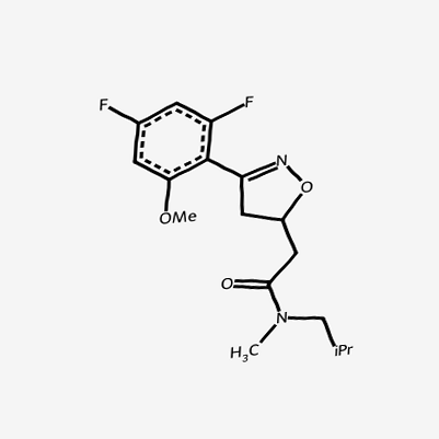 COc1cc(F)cc(F)c1C1=NOC(CC(=O)N(C)CC(C)C)C1